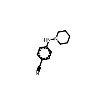 N#Cc1ccc(NN2CCCCC2)cc1